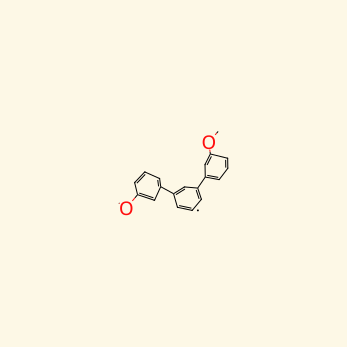 COc1cccc(-c2c[c]cc(-c3cccc(OC)c3)c2)c1